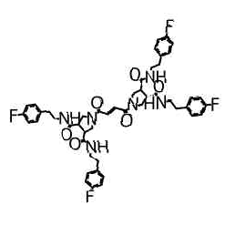 O=C(NCCc1ccc(F)cc1)C1CN(C(=O)/C=C/C(=O)N2CC(C(=O)NCCc3ccc(F)cc3)[C@H](C(=O)NCCc3ccc(F)cc3)C2)CC1C(=O)NCCc1ccc(F)cc1